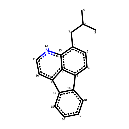 CC(C)Cc1ccc2c3c(ccnc13)-c1ccccc1-2